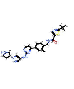 Cc1cc(-c2ccnc(Nc3cnn([C@@H]4CCNC4)c3)n2)ccc1CNC(=O)c1cnc(C(C)(C)C)s1